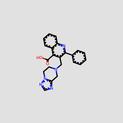 O=C(O)c1c(CN2CCn3ncnc3C2)c(-c2ccccc2)nc2ccccc12